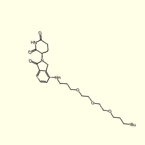 CC(C)(C)CCCOCCOCCOCCCNc1cccc2c1CN(C1CCC(=O)NC1=O)C2=O